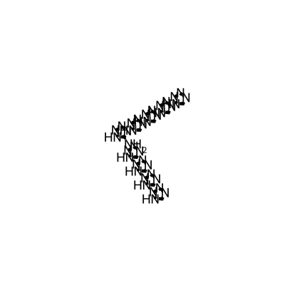 Nc1nnn[nH]1.c1nnn[nH]1.c1nnn[nH]1.c1nnn[nH]1.c1nnn[nH]1.c1nnn[nH]1.c1nnn[nH]1.c1nnn[nH]1.c1nnn[nH]1